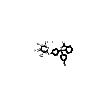 O=C1OC(c2ccc(O)cc2)(c2ccc(O[C@@H]3O[C@H](C(=O)O)[C@@H](O)[C@H](O)[C@H]3O)cc2)c2ccccc21